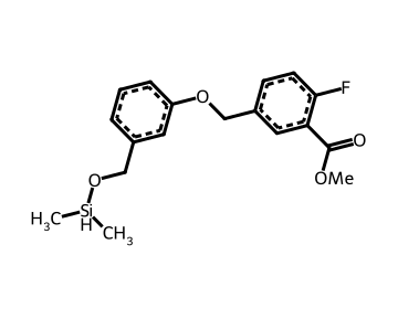 COC(=O)c1cc(COc2cccc(CO[SiH](C)C)c2)ccc1F